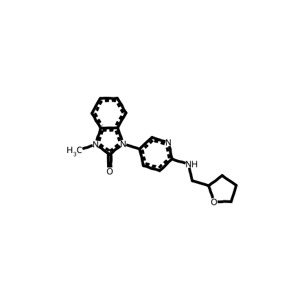 Cn1c(=O)n(-c2ccc(NCC3CCCO3)nc2)c2ccccc21